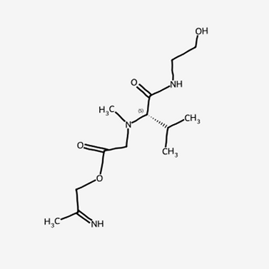 CC(=N)COC(=O)CN(C)[C@H](C(=O)NCCO)C(C)C